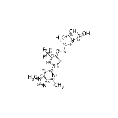 Cc1nc(-c2ccc(OCCCN(CCO)C(C)C)c(C(F)(F)F)c2)cc2c1ncn2C